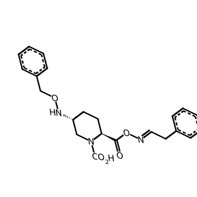 O=C(ON=CCc1ccccc1)[C@@H]1CC[C@@H](NOCc2ccccc2)CN1C(=O)O